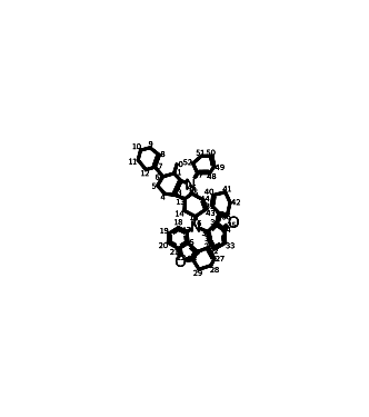 CC1C2=C(CCC1C1=CCCCC1)C1CC(N(c3cccc4oc5c(c34)C=CCC5)c3cccc4oc5c(c34)C=CCC5)C=CC1N2C1=CC=CCC1